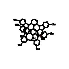 CC(C)(C)C1=CC2c3cc(C(C)(C)C)ccc3N(C3=C(c4cc5c6c(c4)N(c4ccc(C(C)(C)C)cc4)c4ccc(C(C)(C)C)cc4C(B6)c4cc(C(C)(C)C)ccc4N5C4=CC=C(C(C)(C)C)CC4)C(n4c5ccc(C(C)(C)C)cc5c5cc(C(C)(C)C)ccc54)CC=C3)C2C=C1